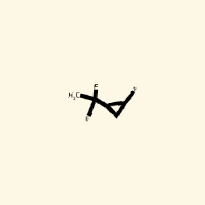 CC(F)(F)C1CC1F